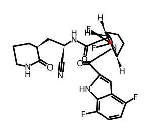 N#C[C@@H](C[C@@H]1CCCNC1=O)NC(=O)[C@@H]1[C@@H]2CC[C@@H](CC2(F)F)N1C(=O)c1cc2c(F)ccc(F)c2[nH]1